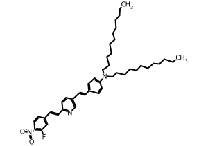 CCCCCCCCCCCCN(CCCCCCCCCCCC)c1ccc(/C=C/c2ccc(/C=C/c3ccc([N+](=O)[O-])c(F)c3)nc2)cc1